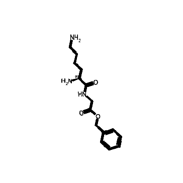 NCCCC[C@H](N)C(=O)NCC(=O)OCc1ccccc1